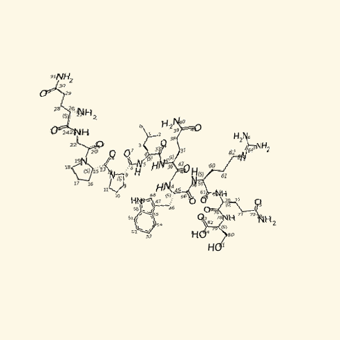 CC(C)C[C@H](NC(=O)[C@@H]1CCCN1C(=O)[C@@H]1CCCN1C(=O)CNC(=O)[C@@H](N)CCC(N)=O)C(=O)N[C@@H](CCC(N)=O)C(=O)N[C@@H](Cc1c[nH]c2ccccc12)C(=O)N[C@@H](CCCN=C(N)N)C(=O)N[C@@H](CCC(N)=O)C(=O)N[C@@H](CO)C(=O)O